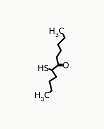 CCCCCC(=O)C(S)CCCC